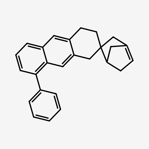 C1=C2CC(C1)C1(CCc3cc4cccc(-c5ccccc5)c4cc3C1)C2